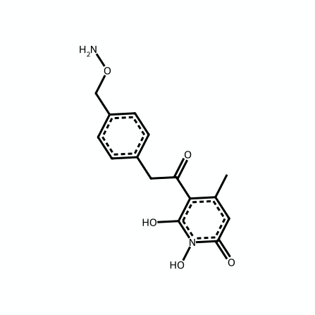 Cc1cc(=O)n(O)c(O)c1C(=O)Cc1ccc(CON)cc1